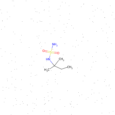 CCC(C)(C)NS(N)(=O)=O